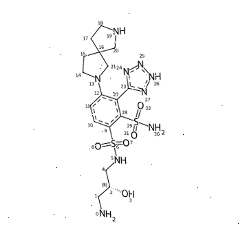 NC[C@@H](O)CNS(=O)(=O)c1ccc(N2CCC3(CCNC3)C2)c(-c2nn[nH]n2)c1S(N)(=O)=O